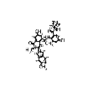 Cc1cc([C@@H](C)Nc2ccc(Cl)nc2C(=O)NS(C)(=O)=O)c2nc(N3Cc4cnc(C)cc4C3)n(C)c(=O)c2c1